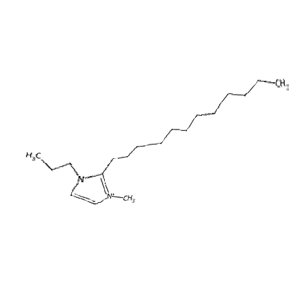 CCCCCCCCCCCCc1n(CCC)cc[n+]1C